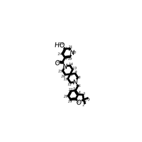 CC1(C)Cc2c(CN3CCC4(CC3)CCN(C(=O)c3cncc(O)c3)CC4)cccc2O1